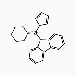 C1=C[CH]([Zr](=[C]2CCCCC2)[CH]2c3ccccc3-c3ccccc32)C=C1